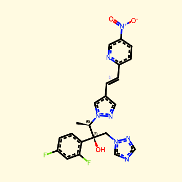 C[C@@H](n1cc(/C=C/c2ccc([N+](=O)[O-])cn2)cn1)[C@](O)(Cn1cncn1)c1ccc(F)cc1F